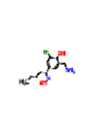 CCCCC(=NO)c1cc(Br)c(O)c(CN)c1